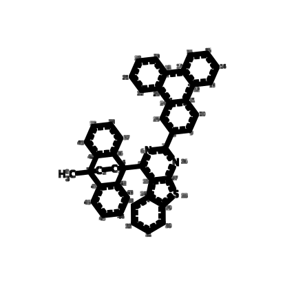 CC12CCC(c3nc(-c4ccc5c6ccccc6c6ccccc6c5c4)nc4sc5ccccc5c34)(c3ccccc31)c1ccccc12